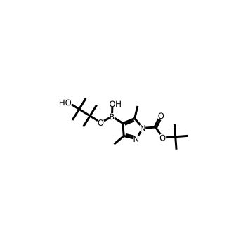 Cc1nn(C(=O)OC(C)(C)C)c(C)c1B(O)OC(C)(C)C(C)(C)O